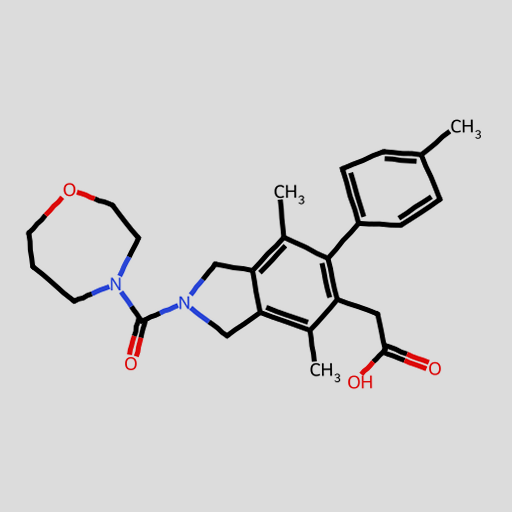 Cc1ccc(-c2c(C)c3c(c(C)c2CC(=O)O)CN(C(=O)N2CCCOCC2)C3)cc1